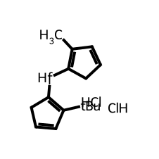 CC1=[C]([Hf][C]2=C(C(C)(C)C)C=CC2)CC=C1.Cl.Cl